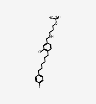 O=[PH](O)OCCCNCc1ccc(CCCCCCc2ccc(F)cc2)c(Cl)c1